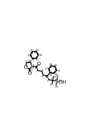 CC(C)(C[C@@H](CCCC(=O)N1C(=O)OC[C@@H]1c1ccccc1)c1ccccc1)[Si](C)(C)O